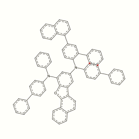 c1ccc(-c2ccc(N(c3cc(N(c4ccccc4)c4ccc(-c5ccccc5)cc4)c4oc5c6ccccc6ccc5c4c3)c3ccc(-c4cccc5ccccc45)cc3-c3ccccc3)cc2)cc1